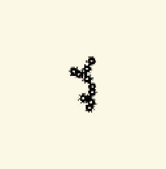 c1ccc(-c2ccc(N(c3ccc(-c4ccc5ccc(-n6c7ccccc7c7c8ccccc8ccc76)cc5c4)cc3)c3ccc4ccccc4c3)cc2)cc1